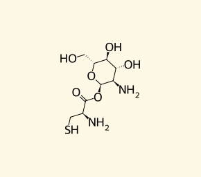 N[C@H]1[C@@H](OC(=O)[C@@H](N)CS)O[C@H](CO)[C@@H](O)[C@@H]1O